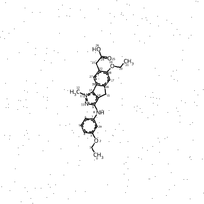 CCOc1cccc(Nc2nn(C)c3c2Cc2cc(OCC)c(CC(=O)O)cc2-3)c1